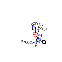 CCOC(=O)CCNc1cc(C(=O)N[C@@H](CCC(=O)O)C(=O)N2CCN(OC(=O)OCC)CC2)nc(-c2ccccc2)n1